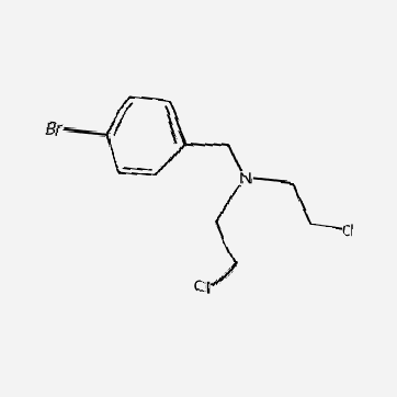 ClCCN(CCCl)Cc1ccc(Br)cc1